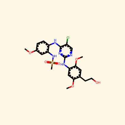 COc1ccc(Nc2nc(Nc3cc(OC)c(CCO)cc3OC)ncc2Cl)c(NS(C)(=O)=O)c1